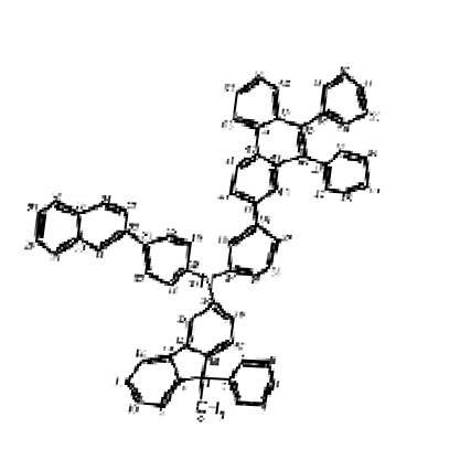 CC1(c2ccccc2)c2ccccc2-c2cc(N(c3ccc(-c4ccc5ccccc5c4)cc3)c3cccc(-c4ccc5c(c4)c(-c4ccccc4)c(-c4ccccc4)c4ccccc45)c3)ccc21